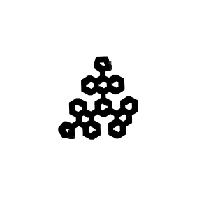 c1csc(-c2c3ccccc3c(-c3cc(-c4c5ccccc5cc5ccccc45)cc(-c4c5ccccc5c(-c5cccs5)c5ccccc45)c3)c3ccccc23)c1